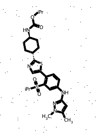 Cc1cc(Nc2ccc(-c3cnc([C@H]4CC[C@H](NC(=O)OC(C)C)CC4)s3)c(S(=O)(=O)C(C)C)c2)nn1C